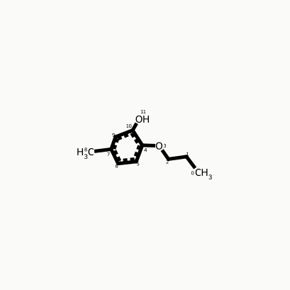 CCCOc1ccc(C)cc1O